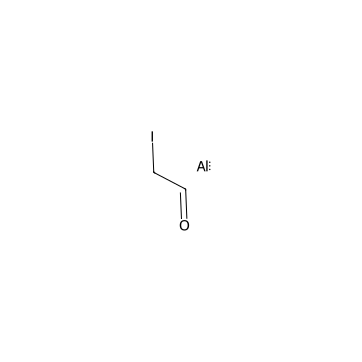 O=CCI.[Al]